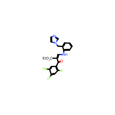 CCOC(=O)C(=CNc1ccccc1Cn1ccnc1)C(=O)c1cc(F)c(F)cc1F